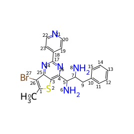 Cc1sc2c(C(N)C(N)Cc3ccccc3)nc(-c3ccncc3)nc2c1Br